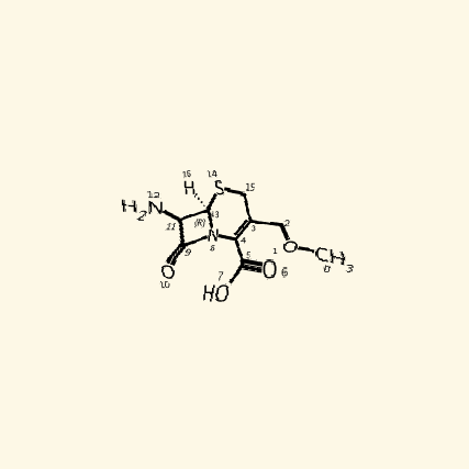 COCC1=C(C(=O)O)N2C(=O)C(N)[C@H]2SC1